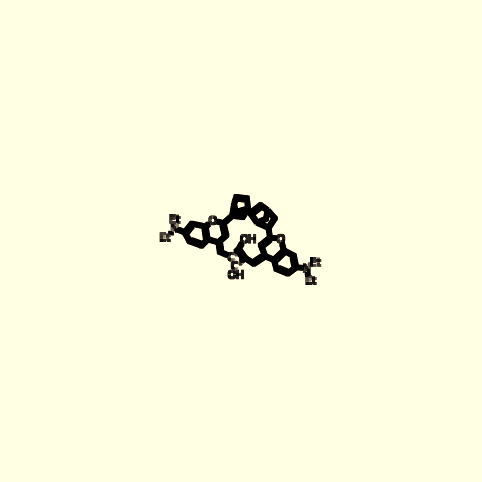 CCN(CC)c1ccc2c(c1)OC(C1CC3C=CC1C3)=CC2=Cc1c(O)[c+](C=C2C=C(C3CC4C=CC3C4)Oc3cc(N(CC)CC)ccc32)[c+]1O